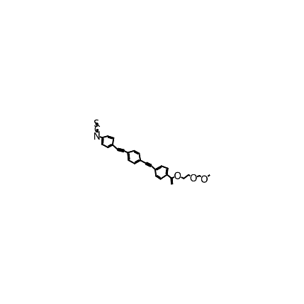 C=C(OCCOCOC)c1ccc(C#Cc2ccc(C#Cc3ccc(N=C=S)cc3)cc2)cc1